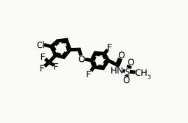 CS(=O)(=O)NC(=O)c1cc(F)c(OCc2ccc(Cl)c(C(F)(F)F)c2)cc1F